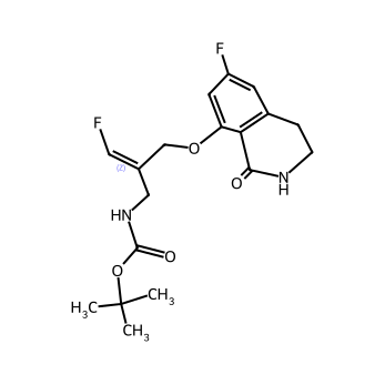 CC(C)(C)OC(=O)NC/C(=C/F)COc1cc(F)cc2c1C(=O)NCC2